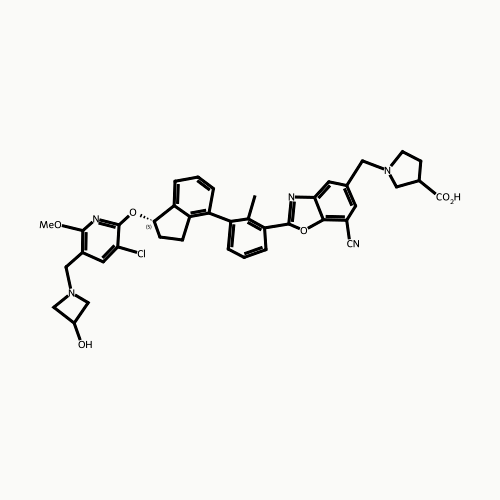 COc1nc(O[C@H]2CCc3c(-c4cccc(-c5nc6cc(CN7CCC(C(=O)O)C7)cc(C#N)c6o5)c4C)cccc32)c(Cl)cc1CN1CC(O)C1